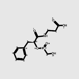 O=C(O)CCNC(=O)[C@H](Cc1ccccc1)O[PH](=O)CO